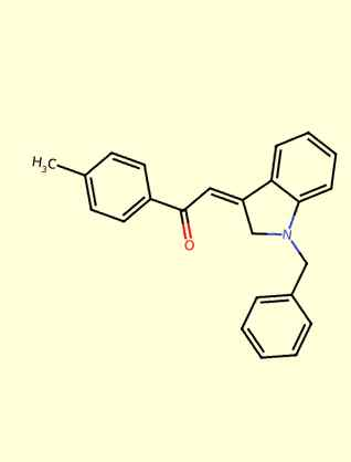 Cc1ccc(C(=O)C=C2CN(Cc3ccccc3)c3ccccc32)cc1